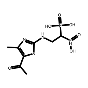 CC(=O)c1sc(NCC([PH](=O)O)P(=O)(O)O)nc1C